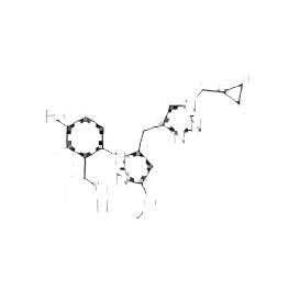 COc1cc(Cc2cn(CC3CC3)nn2)n(-c2ccc(F)cc2[C@@H](C)O)n1